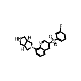 O=S(=O)(c1cccc(F)c1)c1cnc2c(N3C[C@H]4CNC[C@H]4C3)cccc2c1